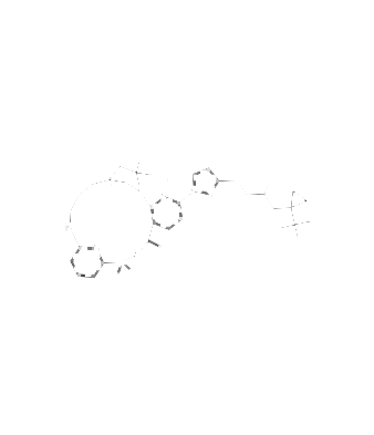 CC1(C)C[C@@H]2CCCNc3cccc(n3)S(=O)(=O)NC(=O)c3ccc(-n4ccc(OCC(O)CC5(C(F)(F)F)CC5)n4)nc3N1C2